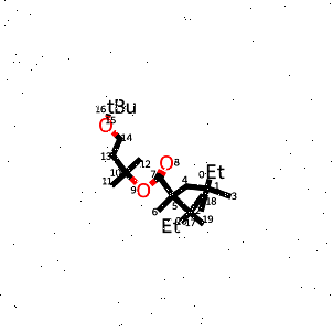 CCC(C)(C)CC(C)(C(=O)OC(C)(C)CCOC(C)(C)C)C(C)(C)CC